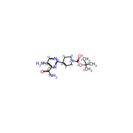 CC(C)(C)OC(=O)N1CC=C(c2ncc(N)c(C(N)=O)n2)CC1